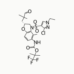 CCn1cc(S(=O)(=O)N2C[C@@H](CC(C)(C)C=O)Oc3ccc(NC(=O)OC(C)(C)C(F)(F)F)c(C)c32)c(Cl)n1